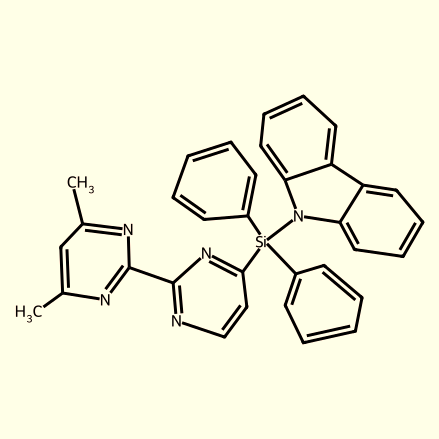 Cc1cc(C)nc(-c2nccc([Si](c3ccccc3)(c3ccccc3)n3c4ccccc4c4ccccc43)n2)n1